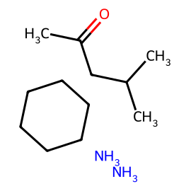 C1CCCCC1.CC(=O)CC(C)C.N.N